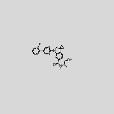 CC(CO)N(C)C(=O)c1ccc2c(c1)N(c1ncc(-c3ccccc3F)cn1)CC21CC1